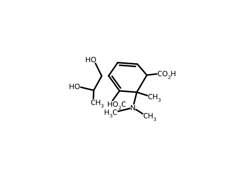 CC(O)CO.CN(C)C1(C)C(C(=O)O)=CC=CC1C(=O)O